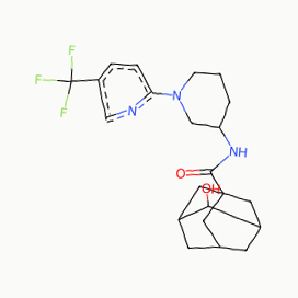 O=C(NC1CCCN(c2ccc(C(F)(F)F)cn2)C1)C12CC3CC(C1)C(O)C(C3)C2